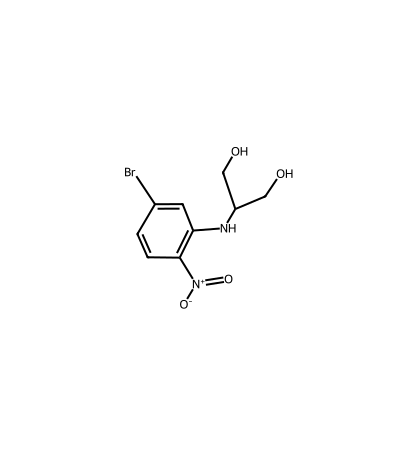 O=[N+]([O-])c1ccc(Br)cc1NC(CO)CO